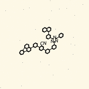 N#Cc1cc(-c2cccc(-c3cccc(-c4nc(-c5ccccc5)nc(-c5cccc(-c6cccc7ccccc67)c5)n4)c3)c2)ccc1-c1cccc(-c2ccc3c4c(cccc24)-c2ccccc2-3)c1